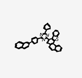 c1ccc(-c2nc(-c3ccc(-c4ccc5ccccc5c4)cc3)nc(-c3cc4ccc5ccccc5c4c4sc5ccccc5c34)n2)cc1